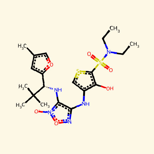 CCN(CC)S(=O)(=O)c1scc(Nc2no[n+]([O-])c2N[C@@H](c2cc(C)co2)C(C)(C)C)c1O